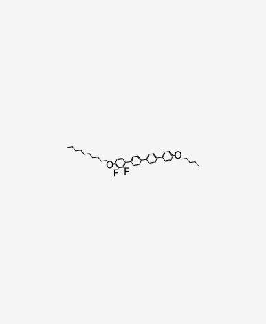 CCCCCCCCCCOc1ccc(-c2ccc(-c3ccc(-c4ccc(OCCCCC)cc4)cc3)cc2)c(F)c1F